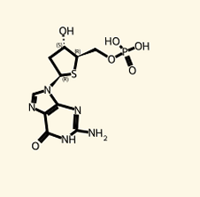 Nc1nc2c(ncn2[C@H]2C[C@H](O)[C@@H](COP(=O)(O)O)S2)c(=O)[nH]1